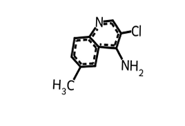 Cc1ccc2ncc(Cl)c(N)c2c1